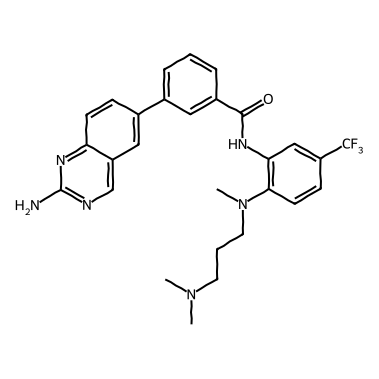 CN(C)CCCN(C)c1ccc(C(F)(F)F)cc1NC(=O)c1cccc(-c2ccc3nc(N)ncc3c2)c1